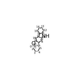 CC12C=CC=CC1c1cc3[nH]c4ccccc4c3cc1O2